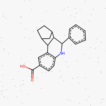 O=C(O)c1ccc2c(c1)C1C3CCC(C3)C1C(c1ccccc1)N2